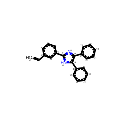 C=Cc1cccc(-c2nc(-c3ccccc3)c(-c3ccccc3)[nH]2)c1